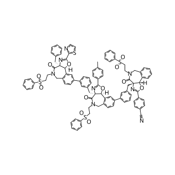 Cc1ccc(C2=N[C@]3(Cc4cccc(-c5ccc6c(c5)[C@@H]5OC(c7nccs7)=N[C@]5(Cc5ccccc5)C(=O)N(CCS(=O)(=O)c5ccccc5)C6)c4)C(=O)N(CCS(=O)(=O)c4ccccc4)Cc4ccc(-c5cccc(C[C@]67N=C(c8ccc(C#N)cc8)O[C@H]6c6ccccc6CN(CCS(=O)(=O)c6ccccc6)C7=O)c5)cc4[C@@H]3O2)cc1